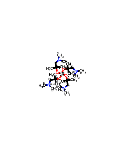 CN(C)CC(C)(C)O[Si](OC(C)(C)CN(C)C)(OC(C)(C)CN(C)C)OC(C)(C)CN(C)C